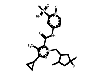 CC1CC(F)(F)CC1Cn1nc(C2CC2)c(C(F)(F)F)c1C(=O)Nc1cc[n+]([O-])c(S(C)(=N)=O)c1